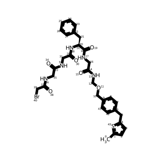 Cc1ccc(Cc2ccc(COCNC(=O)CNC(=O)[C@H](Cc3ccccc3)NC(=O)CNC(=O)CNC(=O)CBr)cc2)s1